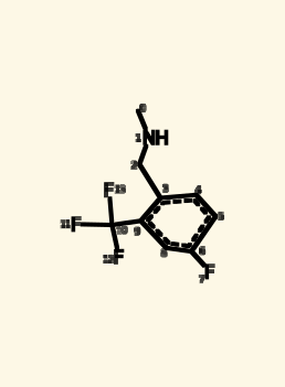 CNCc1ccc(F)cc1C(F)(F)F